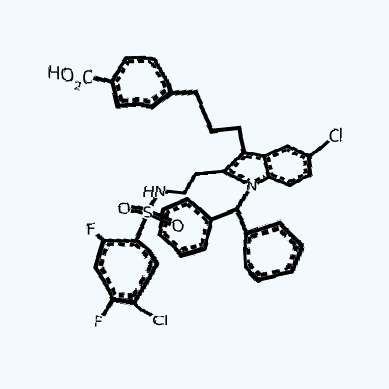 O=C(O)c1ccc(CCCc2c(CCNS(=O)(=O)c3cc(Cl)c(F)cc3F)n(C(c3ccccc3)c3ccccc3)c3ccc(Cl)cc23)cc1